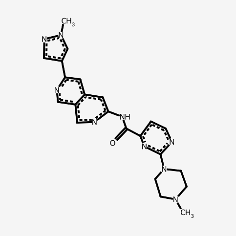 CN1CCN(c2nccc(C(=O)Nc3cc4cc(-c5cnn(C)c5)ncc4cn3)n2)CC1